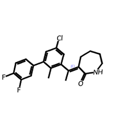 C/C(=C1/CCCCNC1=O)c1cc(Cl)cc(-c2ccc(F)c(F)c2)c1C